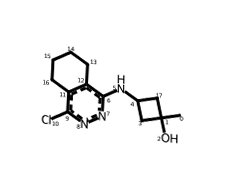 CC1(O)CC(Nc2nnc(Cl)c3c2CCCC3)C1